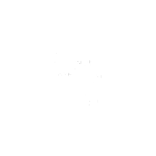 NC1(c2ccccc2S(=O)(=O)O)C=Cc2cc(S(=O)(=O)O)cc(O)c2C1.[H+]